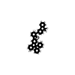 CC1(C)c2ccccc2-c2cc(-c3cccc4c3oc3cc5c(cc34)-c3ccccc3C5(c3ccccc3)c3ccccc3)ccc21